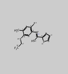 Cc1cc(F)c(/N=C(\S)c2cccs2)cc1SCC(F)(F)F